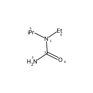 CCN(C(N)=O)C(C)C